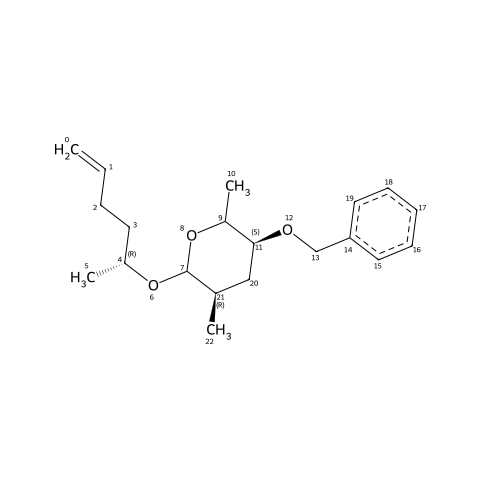 C=CCC[C@@H](C)OC1OC(C)[C@@H](OCc2ccccc2)C[C@H]1C